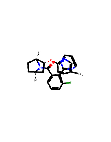 O=C(c1cccc(F)c1-c1ncccn1)N1[C@@H]2CC[C@H]1[C@H](Oc1ccc(C(F)(F)F)cn1)C2